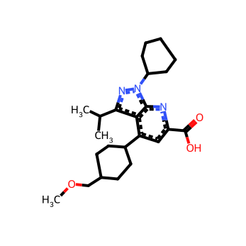 COCC1CCC(c2cc(C(=O)O)nc3c2c(C(C)C)nn3C2CCCCC2)CC1